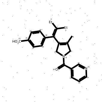 CCC(CC)=C(C1=C(C)CN(C(=O)c2cccnc2)C1)c1ccc(C(=O)O)cc1